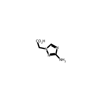 Nc1ncn(CC(=O)O)n1